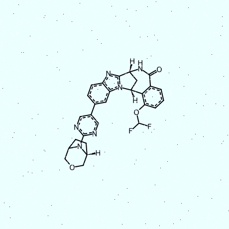 O=C1N[C@@H]2C[C@H](c3c(OC(F)F)cccc31)n1c2nc2ccc(-c3cnc(N4C5CC[C@@H]4COC5)nc3)cc21